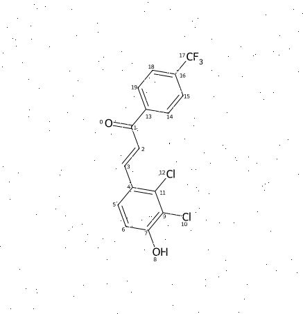 O=C(C=Cc1ccc(O)c(Cl)c1Cl)c1ccc(C(F)(F)F)cc1